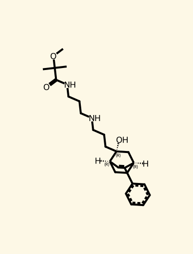 COC(C)(C)C(=O)NCCCNCCC[C@@]1(O)C[C@H]2CC[C@@H]1C=C2c1ccccc1